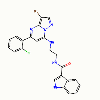 O=C(NCCNc1cc(-c2ccccc2Cl)nc2c(Br)cnn12)c1c[nH]c2ccccc12